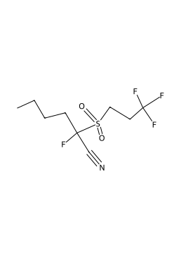 CCCCC(F)(C#N)S(=O)(=O)CCC(F)(F)F